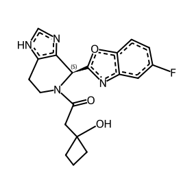 O=C(CC1(O)CCC1)N1CCc2[nH]cnc2[C@H]1c1nc2cc(F)ccc2o1